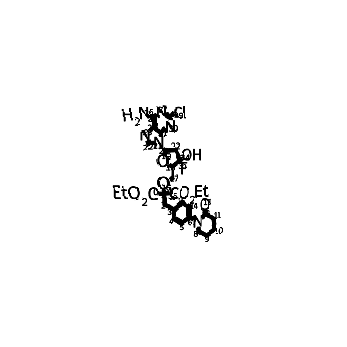 CCOC(=O)C(Cc1ccc(N2CCCCC2=O)cc1)(OC[C@H]1O[C@@H](n2cnc3c(N)nc(Cl)nc32)C[C@@]1(O)F)C(=O)OCC